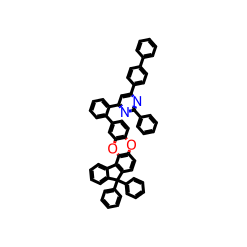 c1ccc(-c2ccc(-c3cc(-c4ccccc4-c4ccc5c(c4)Oc4c(ccc6c4-c4ccccc4C6(c4ccccc4)c4ccccc4)O5)nc(-c4ccccc4)n3)cc2)cc1